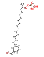 CCC(CCCCCCCCCCCCCc1cccc(CBr)c1)OOP(=O)(O)O